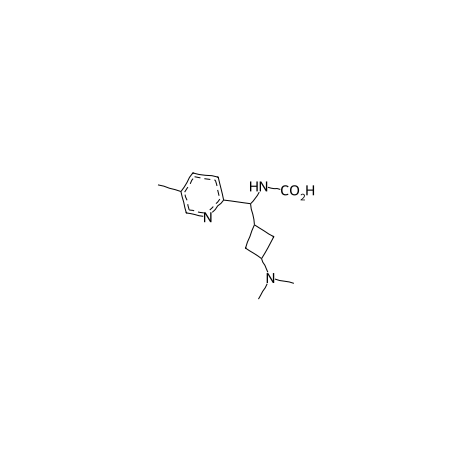 Cc1ccc(C(NC(=O)O)C2CC(N(C)C)C2)nc1